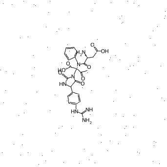 CC(=O)[C@](C(=O)O)(N1C(=O)NC(c2ccc(NC(=N)N)cc2)C1=O)N(C(=O)[C@@H](N)CC(=O)O)c1ccccc1